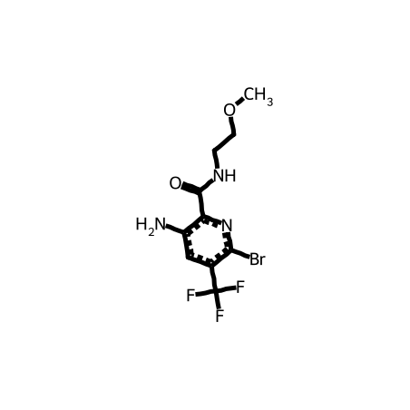 COCCNC(=O)c1nc(Br)c(C(F)(F)F)cc1N